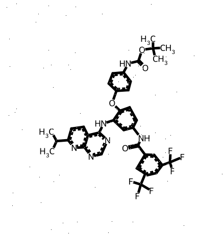 CC(C)c1ccc2c(Nc3cc(NC(=O)c4cc(C(F)(F)F)cc(C(F)(F)F)c4)ccc3Oc3ccc(NC(=O)OC(C)(C)C)cc3)ncnc2n1